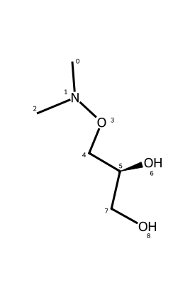 CN(C)OC[C@@H](O)CO